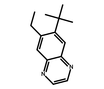 CCc1cc2nccnc2cc1C(C)(C)C